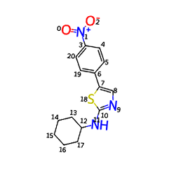 O=[N+]([O-])c1ccc(-c2cnc(NC3CCCCC3)s2)cc1